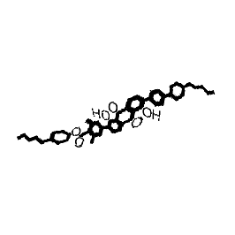 CCCCCC1CCC(OC(=O)c2c(C)cc(-c3ccc4c(c3O)C(=O)c3ccc(-c5ccc(C6CCC(CCCCC)CC6)cc5)c(O)c3C4=O)cc2C)CC1